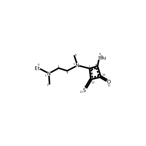 CCN(C)CCN(C)c1c(C(C)(C)C)c(=O)c1=S